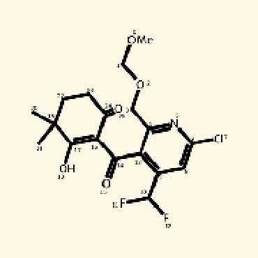 COCOCc1nc(Cl)cc(C(F)F)c1C(=O)C1=C(O)C(C)(C)CCC1=O